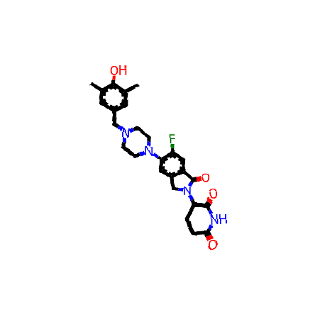 Cc1cc(CN2CCN(c3cc4c(cc3F)C(=O)N(C3CCC(=O)NC3=O)C4)CC2)cc(C)c1O